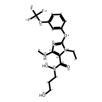 CCn1c(Oc2cccc(OC(F)(F)F)c2)nc(NC)c1C(=O)N(O)CCCO